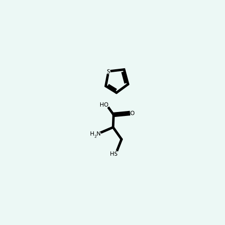 NC(CS)C(=O)O.c1ccsc1